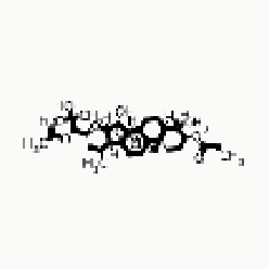 CCC(=O)O[C@H]1CC[C@]23C[C@]24CC[C@]2(C)[C@@H]5[C@H](O[C@@H]([C@H](OC(C)=O)C(C)(C)O)C[C@H]5C)[C@H](O)[C@@]2(C)[C@@H]4CC[C@H]3C1(C)C